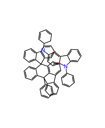 C1=CCC(N(c2ccc3c(c2)c2ccccc2n3-c2ccccc2)c2ccccc2C2(c3ccccc3)c3ccccc3C3(c4ccccc4)c4ccccc4-c4cccc2c43)C=C1